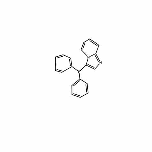 c1ccc(P(c2ccccc2)c2cnc3ccccn23)cc1